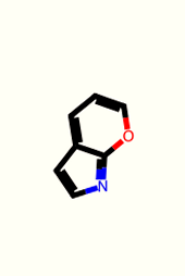 c1coc2nccc-2c1